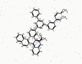 C=C/C=C\C(=C/C)c1cccc(-c2cc(-c3ccccc3)nc(-c3cccc(C(=C\C)/C(c4ccc5ccccc5c4)=c4/cccc/c4=C/C=C/C)c3)n2)c1